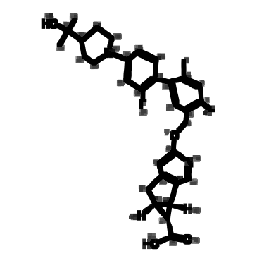 Cc1cc(F)c(COc2cc3c(cn2)[C@H]2[C@@H](C3)[C@@H]2C(=O)O)cc1-c1ccc(N2CCC(C(C)(C)O)CC2)cc1F